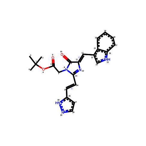 CC(C)(C)OC(=O)CN1C(=O)/C(=C/c2c[nH]c3ccccc23)N=C1/C=C/c1ccn[nH]1